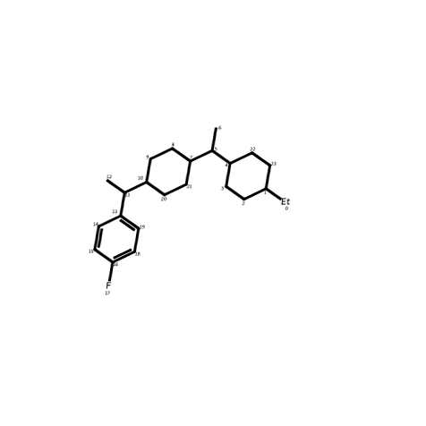 CCC1CCC(C(C)C2CCC(C(C)c3ccc(F)cc3)CC2)CC1